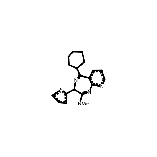 CNC1=Nc2ncccc2C(C2CCCCC2)=NC1c1cccs1